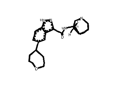 O=C(N[C@@H]1CN2CCC1CC2)c1n[nH]c2ccc(C3CCOCC3)cc12